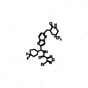 CCc1nonc1C(=O)NC(c1cn2nc(CC3C[C@@H](C(F)(F)F)CNC3=O)ccc2n1)C1CCC(F)(F)CC1